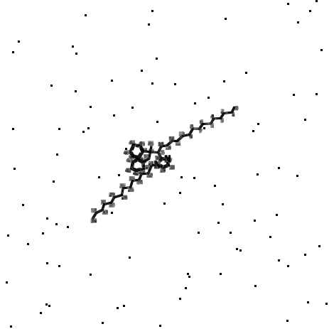 CCCCCCCCCCCCCCCC(c1nccn1CCCCCCCCCCCCCC)C(C)(Cc1ccccc1)c1ccccc1